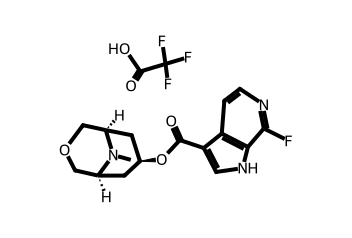 CN1[C@@H]2COC[C@H]1C[C@@H](OC(=O)c1c[nH]c3c(F)nccc13)C2.O=C(O)C(F)(F)F